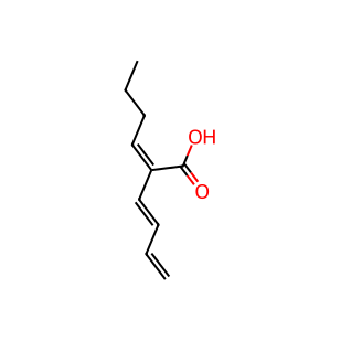 C=CC=CC(=CCCC)C(=O)O